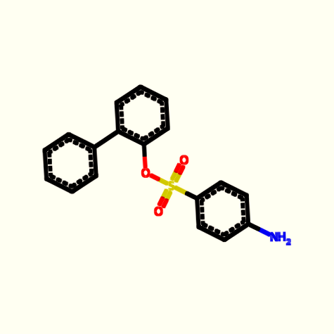 Nc1ccc(S(=O)(=O)Oc2ccccc2-c2ccccc2)cc1